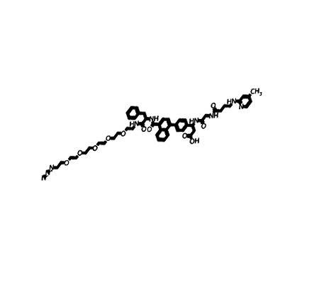 Cc1ccnc(NCCCC(=O)NCC(=O)NC(CC(=O)O)c2ccc(-c3ccc(C(=O)NC(Cc4ccccc4)C(=O)NCCOCCOCCOCCOCCOCCN=[N+]=[N-])c4ccccc34)cc2)c1